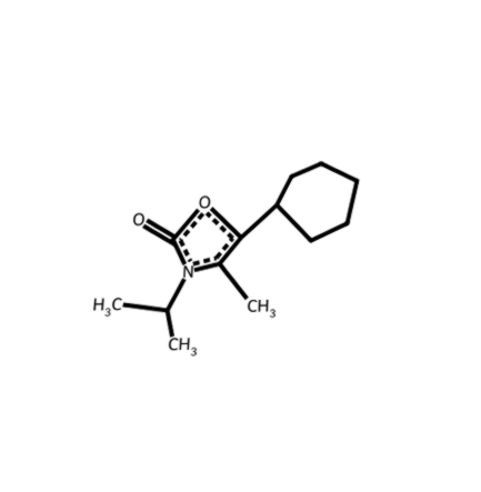 Cc1c(C2CCCCC2)oc(=O)n1C(C)C